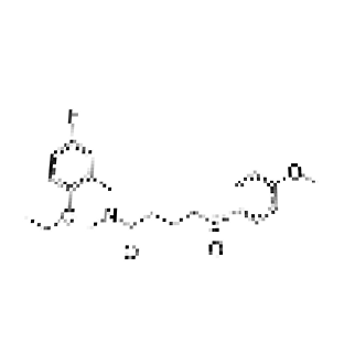 COc1ccc([S+]([O-])CCCC(=O)N(C)Cc2cc(F)ccc2OC(C)C)cc1